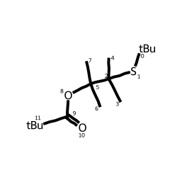 CC(C)(C)SC(C)(C)C(C)(C)OC(=O)C(C)(C)C